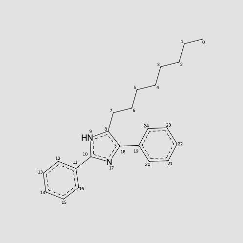 CCCCCCCCc1[nH]c(-c2ccccc2)nc1-c1ccccc1